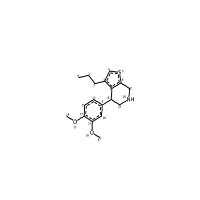 CCCc1csc2c1C(c1ccc(OC)c(OC)c1)CNC2